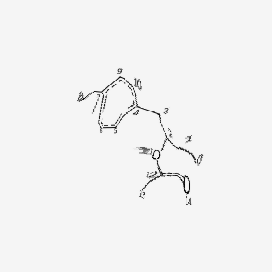 CCC(Cc1ccc(C)cc1)OC(C)=O